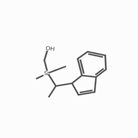 CC(C1C=Cc2ccccc21)[Si](C)(C)CO